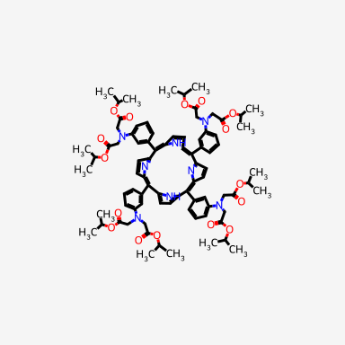 CC(C)OC(=O)CN(CC(=O)OC(C)C)c1cccc(-c2c3nc(c(-c4cccc(N(CC(=O)OC(C)C)CC(=O)OC(C)C)c4)c4ccc([nH]4)c(-c4cccc(N(CC(=O)OC(C)C)CC(=O)OC(C)C)c4)c4nc(c(-c5cccc(N(CC(=O)OC(C)C)CC(=O)OC(C)C)c5)c5ccc2[nH]5)C=C4)C=C3)c1